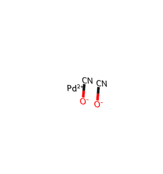 N#C[O-].N#C[O-].[Pd+2]